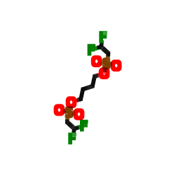 O=S(=O)(CC(F)F)OCCCCOS(=O)(=O)CC(F)F